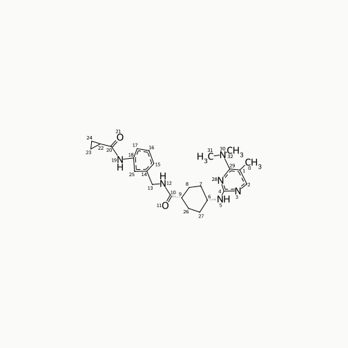 Cc1cnc(N[C@H]2CC[C@@H](C(=O)NCc3cccc(NC(=O)C4CC4)c3)CC2)nc1N(C)C